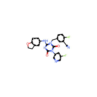 N#Cc1cc(Cn2c(Nc3ccc4c(c3)CCO4)nc(=O)n(-c3cncc(F)c3)c2=O)ccc1F